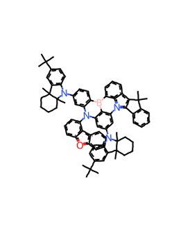 CC(C)(C)c1ccc2c(c1)C1(C)CCCCC1(C)N2c1ccc2c(c1)N(c1cccc3oc4ccccc4c13)c1cc(N3c4ccc(C(C)(C)C)cc4C4(C)CCCCC34C)cc3c1B2c1cccc2c4c(n-3c12)-c1ccccc1C4(C)C